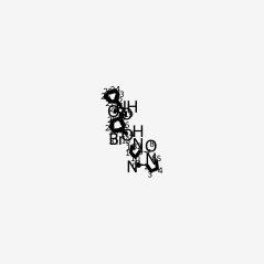 N#C[C@@H]1CCCN1C(=O)[C@@H]1CC[C@H](COc2cc(S(=O)(=O)Nc3ccccc3)ccc2Br)N1